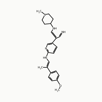 COc1ccc(/C(C)=C/Nc2ccc(/C(C=N)=C/NC3CCN(C)CC3)cn2)cc1